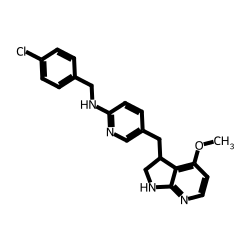 COc1ccnc2c1C(Cc1ccc(NCc3ccc(Cl)cc3)nc1)CN2